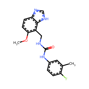 COc1ccc2nc[nH]c2c1CNC(=O)Nc1ccc(F)c(C)c1